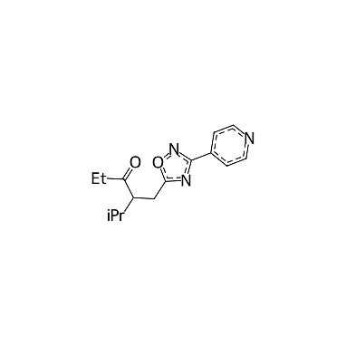 CCC(=O)C(Cc1nc(-c2ccncc2)no1)C(C)C